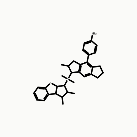 CC1Cc2c(cc3c(c2-c2ccc(C(C)(C)C)cc2)CCC3)C1S(C)(C)C1C(C)C(C)C2c3ccccc3SC21